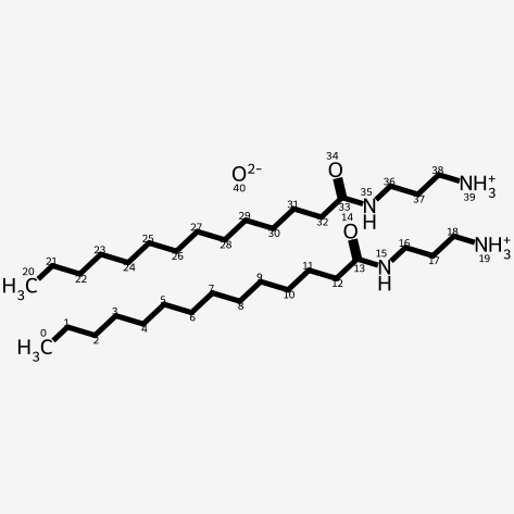 CCCCCCCCCCCCCC(=O)NCCC[NH3+].CCCCCCCCCCCCCC(=O)NCCC[NH3+].[O-2]